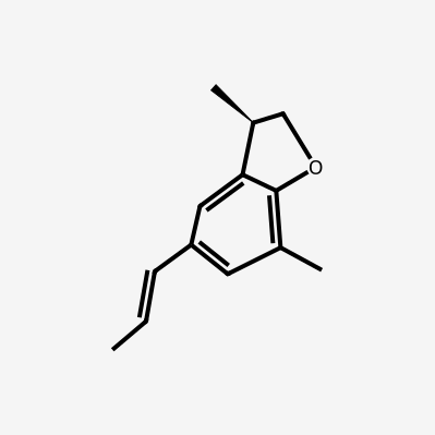 C/C=C/c1cc(C)c2c(c1)[C@@H](C)CO2